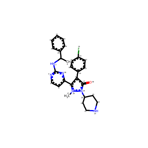 CC(Nc1nccc(-c2c(-c3ccc(F)cc3)c(=O)n(C3CCNCC3)n2C)n1)c1ccccc1